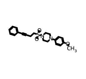 COc1ccc(N2CCN(S(=O)(=O)CCC#Cc3ccccc3)CC2)cc1